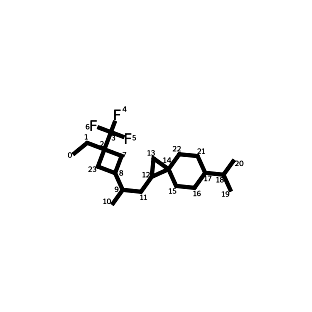 CCC1(C(F)(F)F)CC(C(C)CC2CC23CCC(C(C)C)CC3)C1